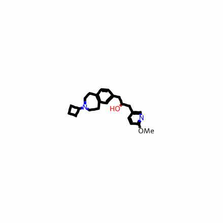 COc1ccc(CC(O)Cc2ccc3c(c2)CCN(C2CCC2)CC3)cn1